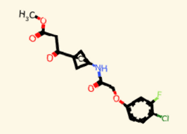 COC(=O)CC(=O)C12CC(NC(=O)COc3ccc(Cl)c(F)c3)(C1)C2